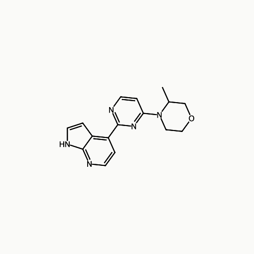 CC1COCCN1c1ccnc(-c2ccnc3[nH]ccc23)n1